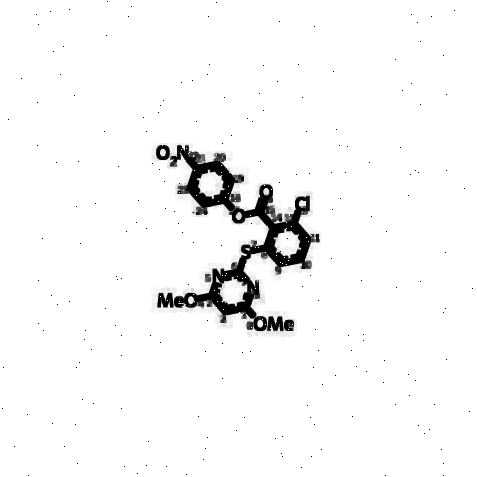 COc1cc(OC)nc(Sc2cccc(Cl)c2C(=O)Oc2ccc([N+](=O)[O-])cc2)n1